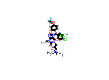 CN(C)CC(=O)Cn1c(=O)c2c(nc(Oc3cccc(OC(F)(F)F)c3)n2Cc2ccc(Cl)cc2)n(C)c1=O.Cl